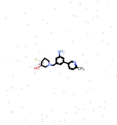 Cc1ccc(-c2cc(N)cc(CN3CC[C@@H](F)[C@H](O)C3)c2)cn1